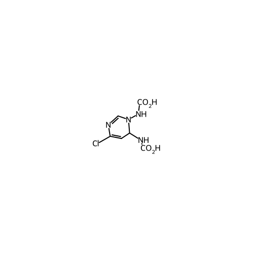 O=C(O)NC1C=C(Cl)N=CN1NC(=O)O